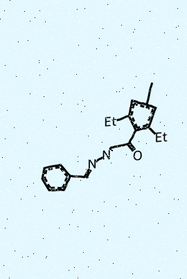 CCc1cc(C)cc(CC)c1C(=O)C=NN=Cc1ccccc1